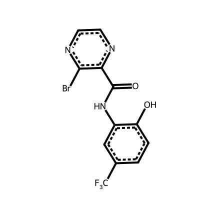 O=C(Nc1cc(C(F)(F)F)ccc1O)c1nccnc1Br